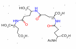 CC(=O)NC(CCC(=O)N[C@@H](CCC(=O)NC(CCC(=O)N[C@@H](CCC(=O)O)C(=O)O)C(=O)O)C(=O)O)C(=O)O